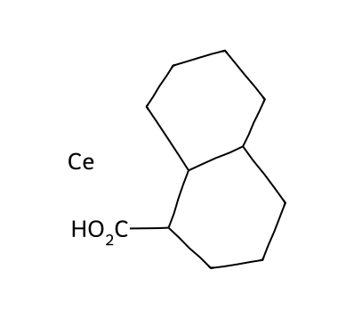 O=C(O)C1CCCC2CCCCC21.[Ce]